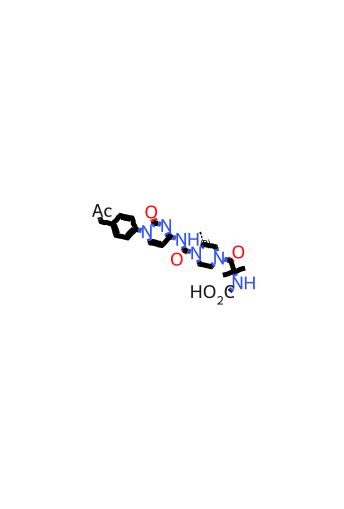 CC(=O)Cc1ccc(-n2ccc(NC(=O)N3CCN(C(=O)C(C)(C)NC(=O)O)C[C@H]3C)nc2=O)cc1